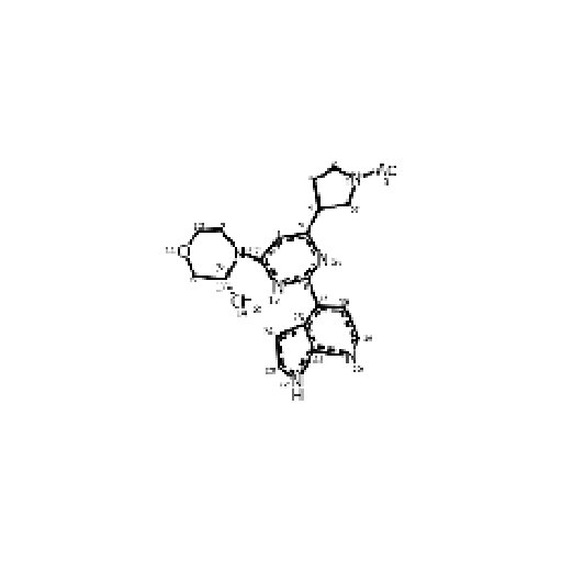 CC(=O)N1CCC(c2cc(N3CCOC[C@H]3C)nc(-c3ccnc4[nH]ccc34)n2)C1